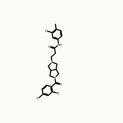 Cc1ccc(NC(=O)CCN2CC3CN(C(=O)c4ccc(Cl)cc4Cl)CC3C2)cc1Cl